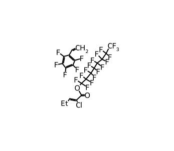 C=Cc1c(F)c(F)c(F)c(F)c1F.CCC=C(Cl)C(=O)OC(F)(F)C(F)(F)C(F)(F)C(F)(F)C(F)(F)C(F)(F)C(F)(F)C(F)(F)F